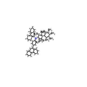 Bc1c(B)c(B)c(-c2c(B)c(B)c(N(c3ccc(-c4cc5ccccc5c5ccccc45)cc3)c3cc4ccccc4c4ccccc34)c(B)c2B)c(B)c1B